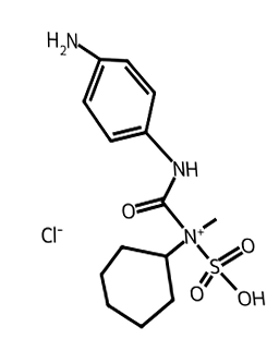 C[N+](C(=O)Nc1ccc(N)cc1)(C1CCCCC1)S(=O)(=O)O.[Cl-]